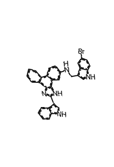 Brc1ccc2[nH]cc(CNc3ccc4c5ccccc5c5nc(-c6c[nH]c7ccccc67)[nH]c5c4c3)c2c1